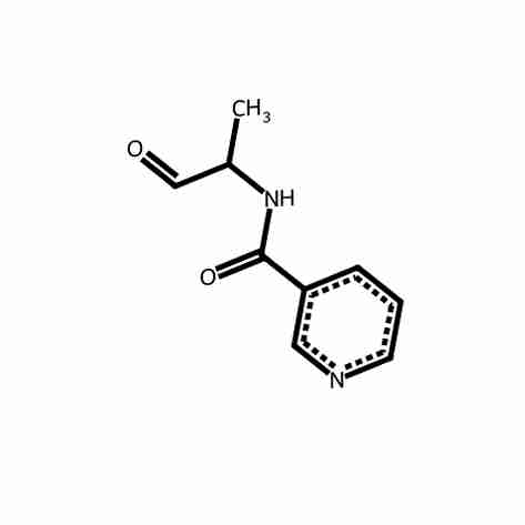 CC(C=O)NC(=O)c1cccnc1